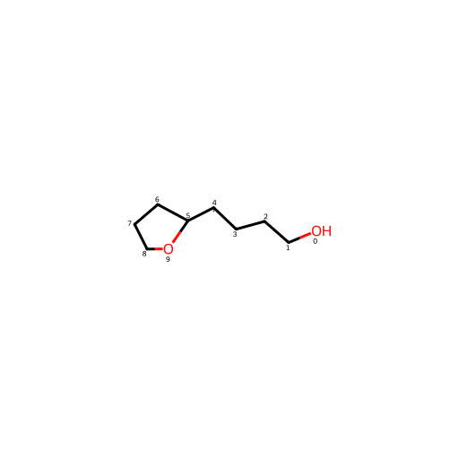 OCCC[CH]C1CCCO1